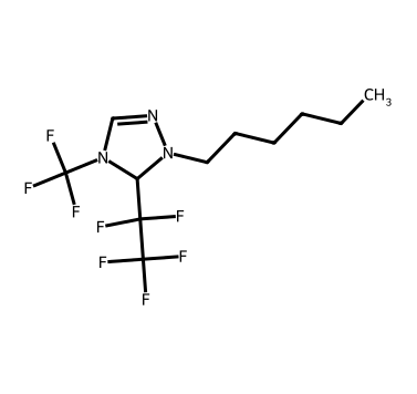 CCCCCCN1N=CN(C(F)(F)F)C1C(F)(F)C(F)(F)F